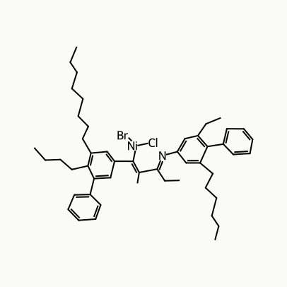 CCCCCCCCc1cc([C](=C(C)C(CC)=Nc2cc(CC)c(-c3ccccc3)c(CCCCCC)c2)[Ni]([Cl])[Br])cc(-c2ccccc2)c1CCCC